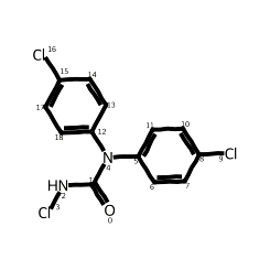 O=C(NCl)N(c1ccc(Cl)cc1)c1ccc(Cl)cc1